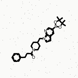 CC1(C)OB(c2cnc3c(ccn3CC3CCN(C(=O)CCc4ccccc4)CC3)c2)OC1(C)C